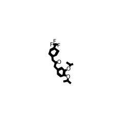 CC(C)Oc1ccc(CC(=O)Cc2ccc(C(F)(F)F)cc2)cc1OC(C)C